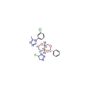 Cc1nnc([C@H]2C[C@@H](N3N=NCC3F)[C@H]3O[C@@H](c4ccccc4)OC[C@H]3O2)n1-c1cccc(Cl)c1